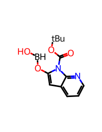 CC(C)(C)OC(=O)n1c(OBO)cc2cccnc21